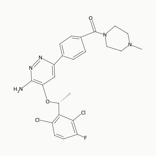 C[C@@H](Oc1cc(-c2ccc(C(=O)N3CCN(C)CC3)cc2)nnc1N)c1c(Cl)ccc(F)c1Cl